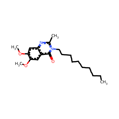 CCCCCCCCCCn1c(C)nc2cc(OC)c(OC)cc2c1=O